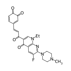 CCn1cc(C(=O)C=CC2=CC(=O)C(=O)C=C2)c(=O)c2cc(F)c(N3CCN(C)CC3)nc21